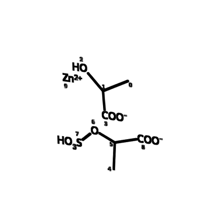 CC(O)C(=O)[O-].CC(OS(=O)(=O)O)C(=O)[O-].[Zn+2]